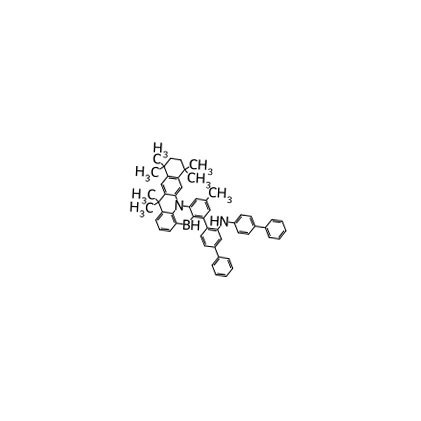 Cc1cc(-c2ccc(-c3ccccc3)cc2Nc2ccc(-c3ccccc3)cc2)c2c(c1)N1c3cc4c(cc3C(C)(C)c3cccc(c31)B2)C(C)(C)CCC4(C)C